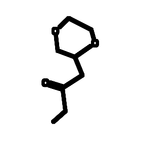 CCC(=O)CC1COCCO1